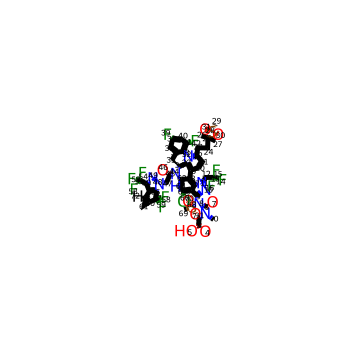 CN(CC(=O)O)C(=O)N(c1nn(CC(F)(F)F)c2c(-c3ccc(CCC(C)(C)S(C)(=O)=O)nc3[C@H](Cc3cc(F)cc(F)c3)NC(=O)Cn3nc(C(F)(F)F)c4c3C(F)(F)C3C[C@H]43)ccc(Cl)c12)S(C)(=O)=O